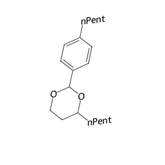 CCCCCc1ccc(C2OCCC(CCCCC)O2)cc1